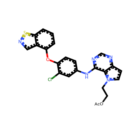 CC(=O)OCCn1ccc2ncnc(Nc3ccc(Oc4cccc5sncc45)c(Cl)c3)c21